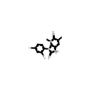 Cc1cc2[nH]c(=O)n(-c3ccc(I)cc3F)c2n(C)c1=O